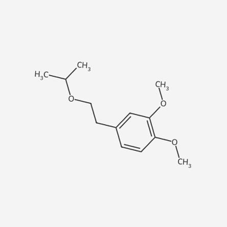 COc1ccc(CCOC(C)C)cc1OC